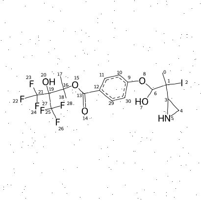 CC(I)(C1CN1)C(O)Oc1ccc(C(=O)OC(C)(C)C(O)(C(F)(F)F)C(F)(F)F)cc1